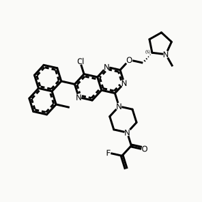 C=C(F)C(=O)N1CCN(c2nc(OC[C@@H]3CCCN3C)nc3c(Cl)c(-c4cccc5cccc(C)c45)ncc23)CC1